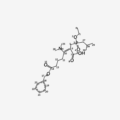 CCOP(=O)(C/C(C(=O)O)=C(/CCCC(=O)OCc1ccccc1)N(C)C)CC(C)C